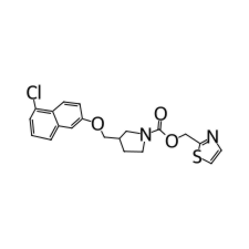 O=C(OCc1nccs1)N1CCC(COc2ccc3c(Cl)cccc3c2)C1